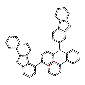 c1ccc(-c2ccccc2N(c2ccc(-c3cccc4oc5c6ccccc6ccc5c34)cc2)c2ccc3c(c2)sc2ccccc23)cc1